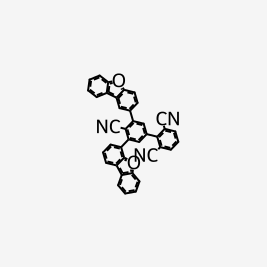 N#Cc1cccc(C#N)c1-c1cc(-c2ccc3oc4ccccc4c3c2)c(C#N)c(-c2cccc3c2oc2ccccc23)c1